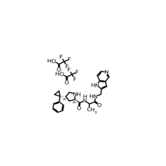 CC(NC(=O)[C@H]1C[C@H](C2(c3ccccc3)CC2)CN1)C(=O)NCc1cc2cnccc2[nH]1.O=C(O)C(F)(F)F.O=C(O)C(F)(F)F